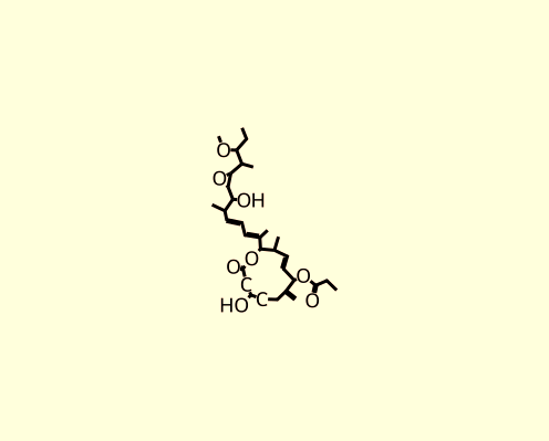 C=C1CCC(O)CC(=O)OC(/C(C)=C/C=C/C(C)C(O)C2OC2C(C)C(CC)OC)C(C)/C=C/C1OC(=O)CC